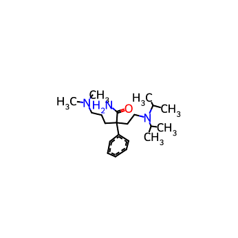 CC(C)N(CCC(CCCN(C)C)(C(N)=O)c1ccccc1)C(C)C